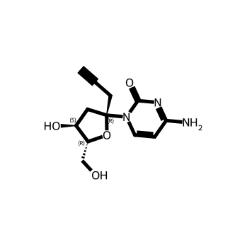 C#CC[C@]1(n2ccc(N)nc2=O)C[C@H](O)[C@@H](CO)O1